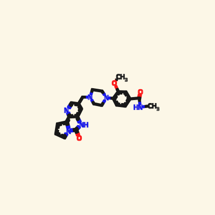 CNC(=O)c1ccc(N2CCN(Cc3cnc4c(c3)[nH]c(=O)n3cccc43)CC2)c(OC)c1